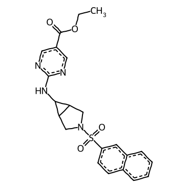 CCOC(=O)c1cnc(NC2C3CN(S(=O)(=O)c4ccc5ccccc5c4)CC32)nc1